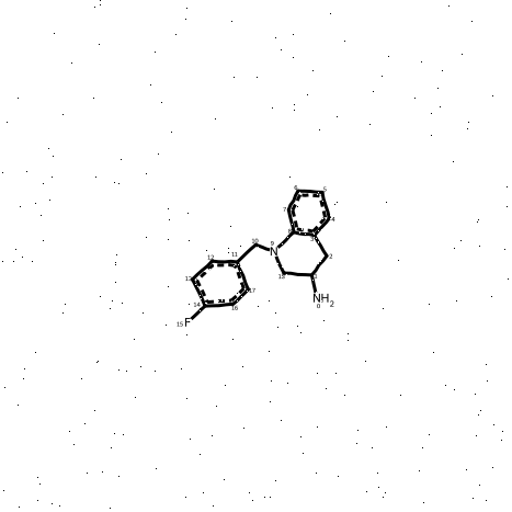 NC1Cc2ccccc2N(Cc2ccc(F)cc2)C1